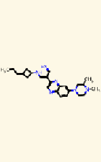 CCCC1CC(N/C=C(\C=N)c2cnc3ccc(N4CCN(C)[C@H](C)C4)cc3n2)C1